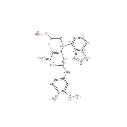 C=C/C(F)=C(\N=C(/N)Nc1ccc(N)c(NN)c1)N(CCCO)c1cccc2[nH]ncc12